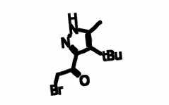 Cc1[nH]nc(C(=O)CBr)c1C(C)(C)C